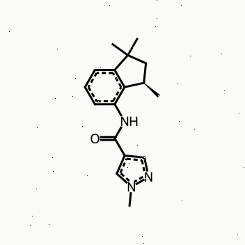 C[C@@H]1CC(C)(C)c2cccc(NC(=O)c3cnn(C)c3)c21